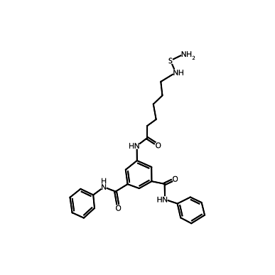 NSNCCCCCC(=O)Nc1cc(C(=O)Nc2ccccc2)cc(C(=O)Nc2ccccc2)c1